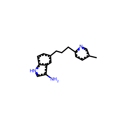 Cc1ccc(CCCc2ccc3[nH]cc(N)c3c2)nc1